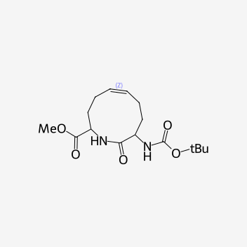 COC(=O)C1CC/C=C\CCC(NC(=O)OC(C)(C)C)C(=O)N1